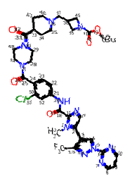 Cn1c(-c2cn(-c3ncccn3)nc2C(F)(F)F)cnc1C(=O)Nc1ccc(C(=O)N2CCN(C(=O)C3CCN(CC4CN(C(=O)OC(C)(C)C)C4)CC3)CC2)c(Cl)c1